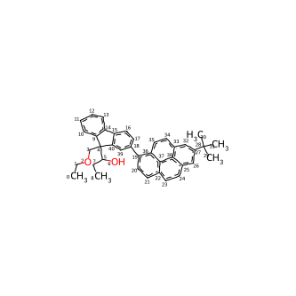 CCOCC1(C(O)CC)c2ccccc2-c2ccc(-c3ccc4ccc5cc(C(C)(C)C)cc6ccc3c4c56)cc21